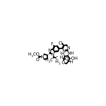 [2H][C@@H]1[C@H]2OC[C@H](O2)[C@@H](O)[C@@H]1Nc1ncc(Cl)c(-c2cc(F)c3nc([C@@H]4CCN(C(=O)OC)C4)n(C(C)C)c3c2)n1